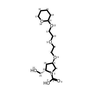 O=C(O)N1C[C@H](OCCOCCOC2CCCCO2)C[C@H]1CO